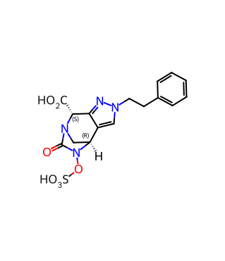 O=C(O)[C@@H]1c2nn(CCc3ccccc3)cc2[C@@H]2CN1C(=O)N2OS(=O)(=O)O